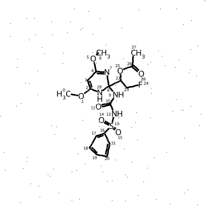 COC1=CC(OC)=NC(NC(=O)NS(=O)(=O)c2ccccc2)(C(CF)OC(C)=O)N1